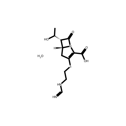 CC(O)[C@@H]1C(=O)N2C(C(=O)O)=C(SCCNC=N)C[C@H]12.O